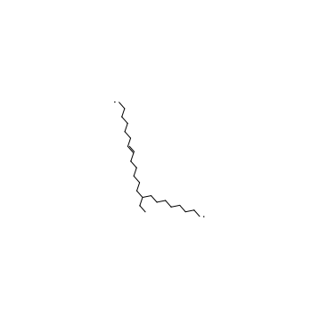 [CH2]CCCCCC=CCCCCCC(CC)CCCCCCC[CH2]